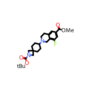 COC(=O)c1cc(F)c2c(c1)CCN(C1CCC3(CC1)CN(C(=O)OC(C)(C)C)C3)C2